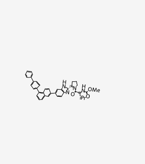 COC(=O)N[C@H](C(=O)N1CCC[C@H]1c1nc2ccc(-c3ccc4c(-c5ccc(-c6ccccc6)cc5)cccc4c3)cc2[nH]1)C(C)C